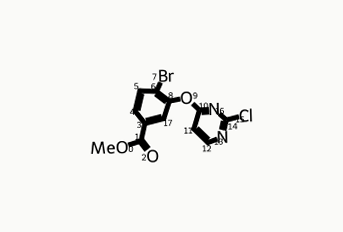 COC(=O)c1ccc(Br)c(Oc2ccnc(Cl)n2)c1